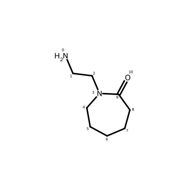 NCCN1CCCCCC1=O